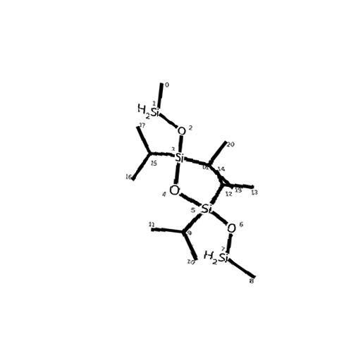 C[SiH2]O[Si](O[Si](O[SiH2]C)(C(C)C)C(C)C)(C(C)C)C(C)C